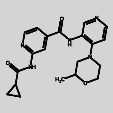 CC1CN(c2ccncc2NC(=O)c2ccnc(NC(=O)C3CC3)c2)CCO1